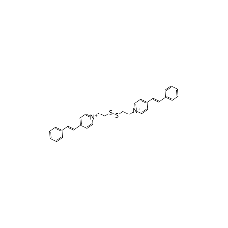 C(=C\c1cc[n+](CCSSCC[n+]2ccc(/C=C/c3ccccc3)cc2)cc1)/c1ccccc1